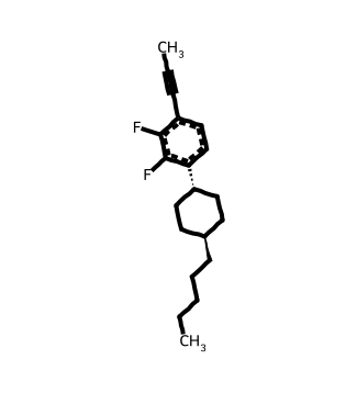 CC#Cc1ccc([C@H]2CC[C@H](CCCCC)CC2)c(F)c1F